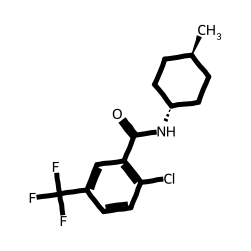 C[C@H]1CC[C@H](NC(=O)c2cc(C(F)(F)F)ccc2Cl)CC1